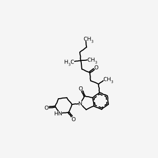 CCCC(C)(C)CC(=O)CC(C)c1cccc2c1C(=O)N(C1CCC(=O)NC1=O)C2